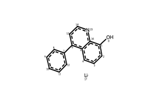 Oc1cccc2c(-c3ccccc3)ccnc12.[Li]